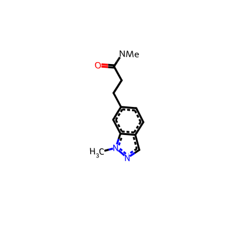 CNC(=O)CCc1ccc2cnn(C)c2c1